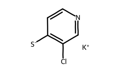 [K+].[S-]c1ccncc1Cl